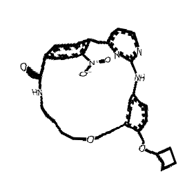 O=C1NCCCCOCc2cc(ccc2OC2CCC2)Nc2nccc(n2)-c2ccc1cc2[N+](=O)[O-]